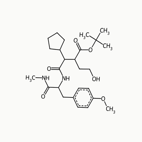 CNC(=O)C(Cc1ccc(OC)cc1)NC(=O)C(C1CCCC1)C(CCO)C(=O)OC(C)(C)C